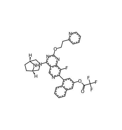 O=C(Oc1cc(-c2ncc3c(N4C[C@H]5CC[C@@H](C4)N5)nc(OCCc4ccccn4)nc3c2F)c2ccccc2c1)C(F)(F)F